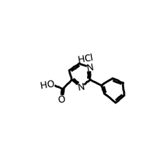 Cl.O=C(O)c1ccnc(-c2ccccc2)n1